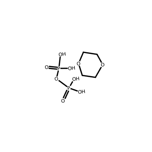 C1COCCO1.O=P(O)(O)OP(=O)(O)O